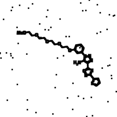 COCCOCCOCCOCCOc1cccc(-n2nnc(-c3nc(-c4cccs4)no3)c2N)c1